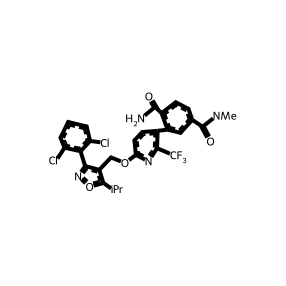 CNC(=O)c1ccc(C(N)=O)c(-c2ccc(OCc3c(-c4c(Cl)cccc4Cl)noc3C(C)C)nc2C(F)(F)F)c1